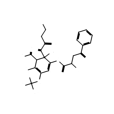 CCCC(=O)C(=O)C1(Cl)C(NC(=O)C(C)CC(=O)c2ccccc2)=CC(OC(C)(C)C)=C(Cl)C1C(=O)O